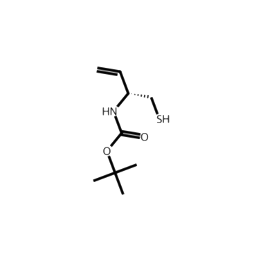 C=C[C@H](CS)NC(=O)OC(C)(C)C